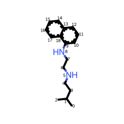 CC(C)CCNCCNc1cccc2ccccc12